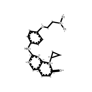 CCN(CC)CCOc1ccc(Nc2ncc3ccc(=O)n(C4CC4)c3n2)cc1